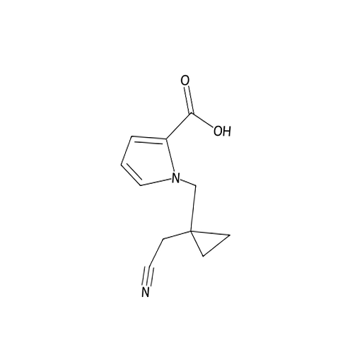 N#CCC1(Cn2cccc2C(=O)O)CC1